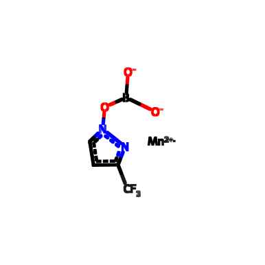 [Mn+2].[O-]B([O-])On1ccc(C(F)(F)F)n1